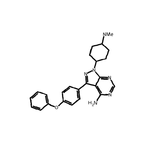 CNC1CCC(n2nc(-c3ccc(Oc4ccccc4)cc3)c3c(N)ncnc32)CC1